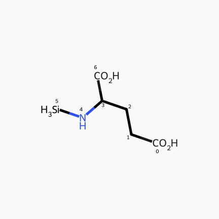 O=C(O)CCC(N[SiH3])C(=O)O